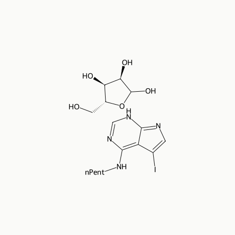 CCCCCNc1nc[nH]c2ncc(I)c1-2.OC[C@H]1OC(O)[C@H](O)[C@@H]1O